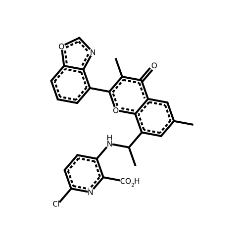 Cc1cc(C(C)Nc2ccc(Cl)nc2C(=O)O)c2oc(-c3cccc4ocnc34)c(C)c(=O)c2c1